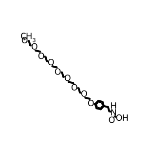 COCCOCCOCCOCCOCCOCCOCCOCCOc1ccc(CCNC(=O)O)cc1